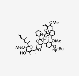 C/C=C/[C@@H](C)C[C@@H](C)C(=O)[C@H](OC)[C@H](O)/C(C)=C/[C@@H](C)C(=O)C[C@H](OC(=O)[C@@H]1CCCCN1C(=O)C(=O)[C@]1(O)O[C@H](C[C@H](OC)/C(C)=C/C)CC[C@H]1C)[C@H](C)C[C@@H]1CCC(O[Si](C)(C)C(C)(C)C)[C@H](OC)C1